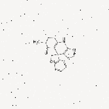 CCC1(c2ccccc2)C2=C(CCC(C)C2=O)Nc2ncsc21